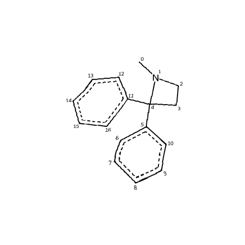 CN1CCC1(c1ccccc1)c1ccccc1